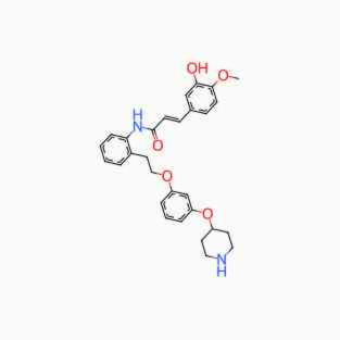 COc1ccc(/C=C/C(=O)Nc2ccccc2CCOc2cccc(OC3CCNCC3)c2)cc1O